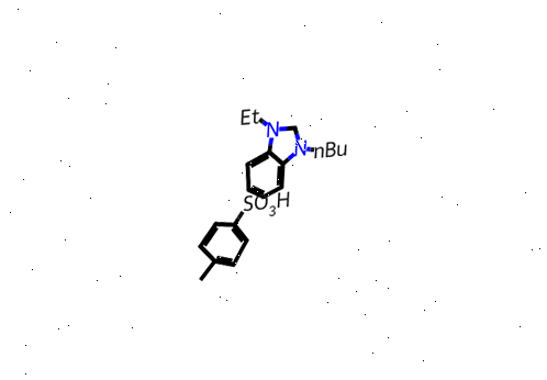 CCCCN1CN(CC)c2ccccc21.Cc1ccc(S(=O)(=O)O)cc1